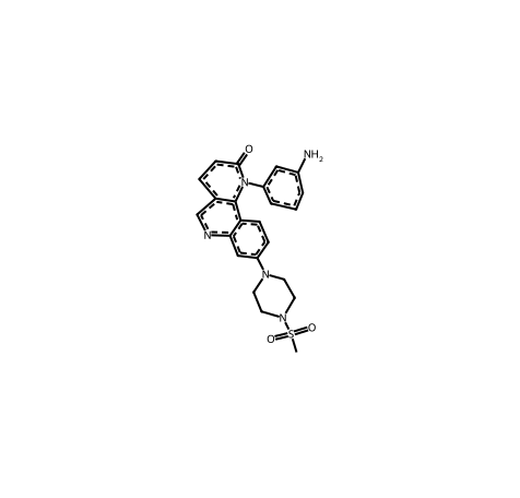 CS(=O)(=O)N1CCN(c2ccc3c(c2)ncc2ccc(=O)n(-c4cccc(N)c4)c23)CC1